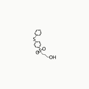 O=S(=O)(CCCO)c1ccc(Sc2ccccc2)cc1